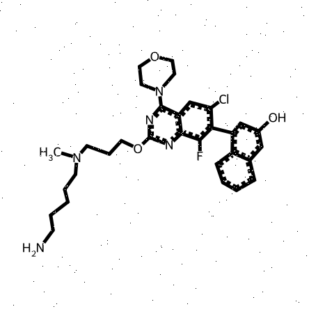 CN(CCCCCN)CCCOc1nc(N2CCOCC2)c2cc(Cl)c(-c3cc(O)cc4ccccc34)c(F)c2n1